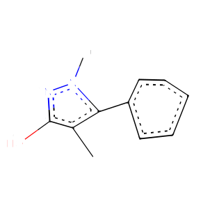 CCn1nc(O)c(C)c1-c1ccccc1